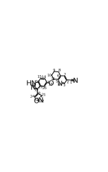 N#Cc1cnc2c(c1)CCCC2Oc1ccc2[nH]nc(-c3cnoc3)c2c1